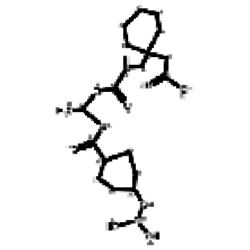 CC(OC(=O)NCC1(CC(=O)O)CCCCC1)OC(=O)C1CCC(ON(O)O)CC1